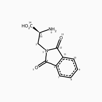 N[C@@H](CN1C(=O)c2ccccc2C1=O)C(=O)O